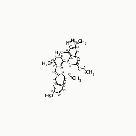 CCOC(=O)C[C@H](c1ccc(C)c(CN2Cc3nc(O)ccc3O[C@@H](CC)C2)c1)c1ccc2c(nnn2C)c1C